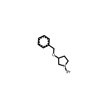 CC(C)N1CCC(OCc2ccccc2)C1